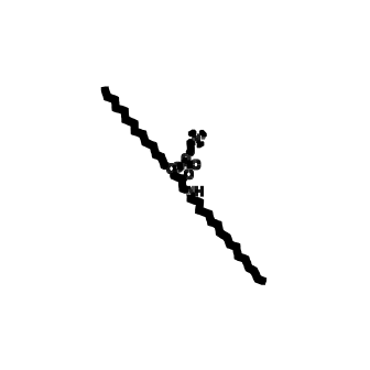 CCCCCCCCCCCCCCCCNCC(COCCCCCCCCCCCCCC)OP(=O)([O-])OCC[N+](C)(C)C